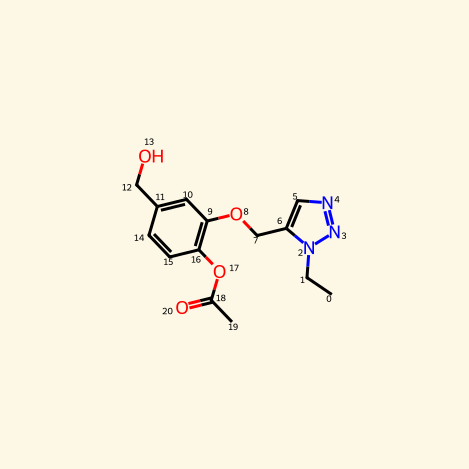 CCn1nncc1COc1cc(CO)ccc1OC(C)=O